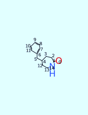 O=C1CCC(Cc2ccccc2)CCN1